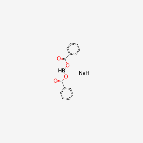 O=C(OBOC(=O)c1ccccc1)c1ccccc1.[NaH]